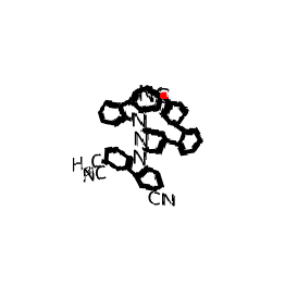 CC1(C#N)C=Cc2c(c3cc(C#N)ccc3n2-c2cc(-c3ccccc3-c3ccc(C#N)cc3)cc(-n3c4ccccc4c4ccccc43)n2)C1